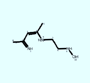 CC(=N)/C=C(/C)NCCNO